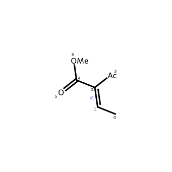 C/C=C(\C(C)=O)C(=O)OC